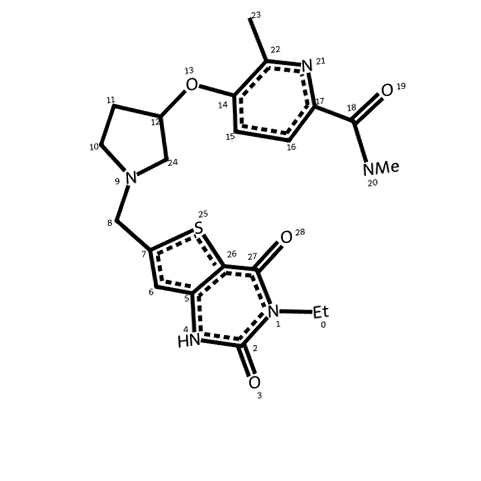 CCn1c(=O)[nH]c2cc(CN3CCC(Oc4ccc(C(=O)NC)nc4C)C3)sc2c1=O